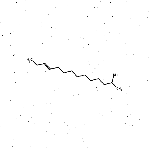 CC/C=C/CCCCCCCCC(C)[NH]